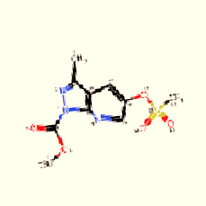 Cc1nn(C(=O)OC(C)(C)C)c2ncc(OS(=O)(=O)C(F)(F)F)cc12